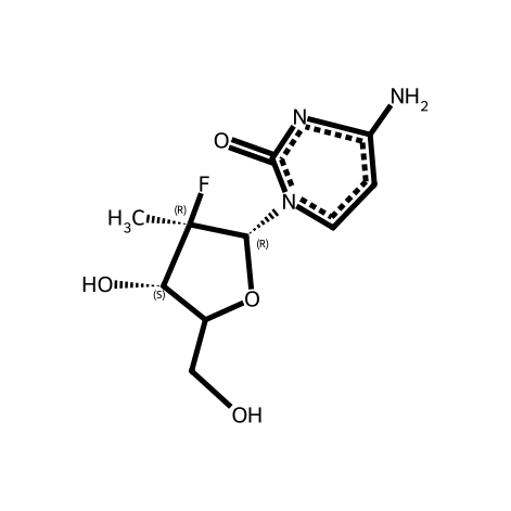 C[C@@]1(F)[C@@H](O)C(CO)O[C@H]1n1ccc(N)nc1=O